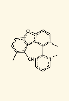 Cc1ccc2oc3ccc(C)c(-c4cccc[n+]4C)c3c2c1C#N